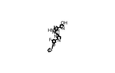 Oc1cncc(-c2cnc3[nH]nc(-c4nc5c(-c6cc(F)cc(OCCN7CCCC7)c6)nccc5[nH]4)c3c2)c1